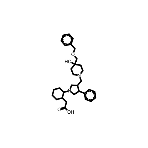 O=C(O)CC1CCCCC1N1CC(CN2CCC(O)(COCc3ccccc3)CC2)C(c2ccccc2)C1